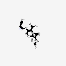 N#C/C=C\SC1=C(C(=O)O)N2C(=O)C(NC=O)[C@H]2SC1